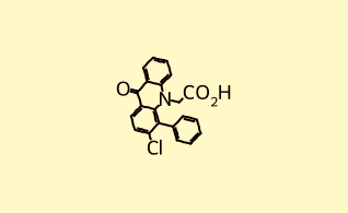 O=C(O)Cn1c2ccccc2c(=O)c2ccc(Cl)c(-c3ccccc3)c21